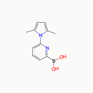 Cc1ccc(C)n1-c1cccc(B(O)O)n1